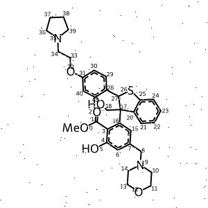 COC(=O)c1c(O)cc(CN2CCOCC2)cc1C1(CO)c2ccccc2SC1c1ccc(OCCN2CCCC2)cc1